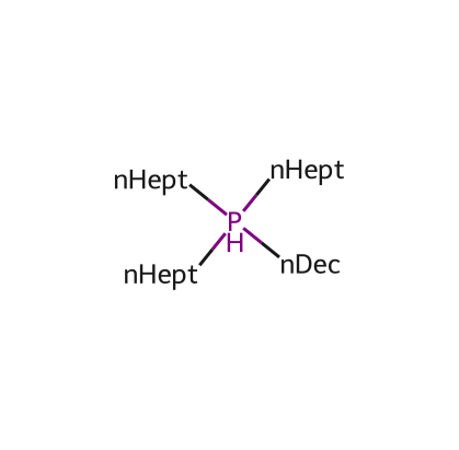 CCCCCCCCCC[PH](CCCCCCC)(CCCCCCC)CCCCCCC